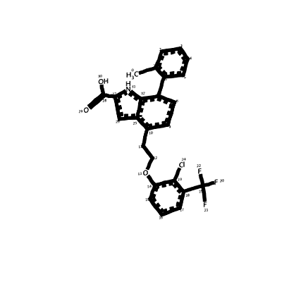 Cc1ccccc1-c1ccc(CCOc2cccc(C(F)(F)F)c2Cl)c2cc(C(=O)O)[nH]c12